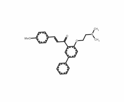 COc1ccc(C=CC(=O)c2cc(-c3ccccc3)ccc2OCCN(C)C)cc1